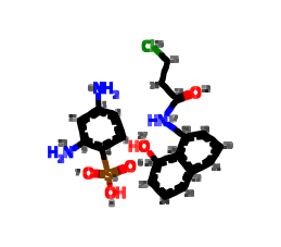 Nc1ccc(S(=O)(=O)O)c(N)c1.O=C(CCCl)Nc1cccc2cccc(O)c12